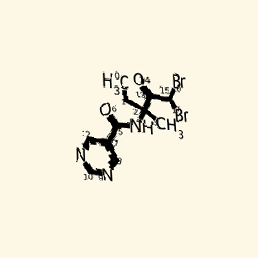 CCC(C)(NC(=O)c1cncnc1)C(=O)C(Br)Br